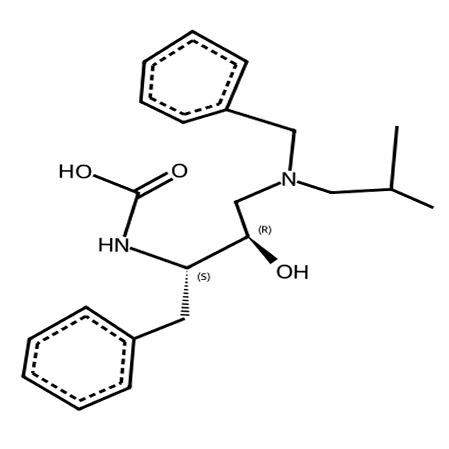 CC(C)CN(Cc1ccccc1)C[C@@H](O)[C@H](Cc1ccccc1)NC(=O)O